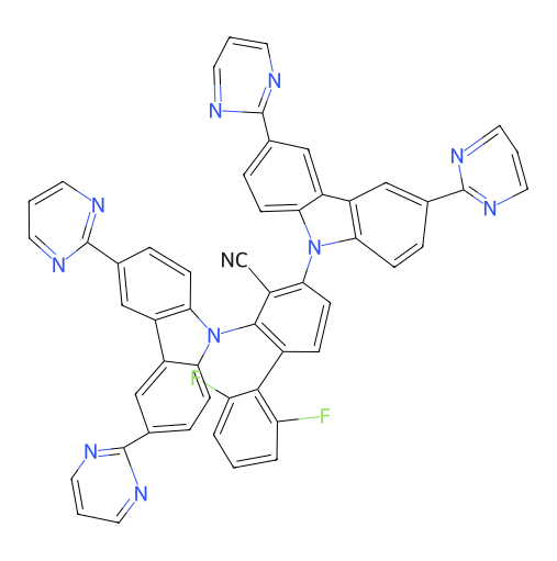 N#Cc1c(-n2c3ccc(-c4ncccn4)cc3c3cc(-c4ncccn4)ccc32)ccc(-c2c(F)cccc2F)c1-n1c2ccc(-c3ncccn3)cc2c2cc(-c3ncccn3)ccc21